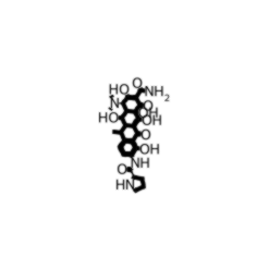 CC1c2ccc(NC(=O)[C@H]3CCCN3)c(O)c2C(=O)C2=C(O)C3(O)C(=O)C(C(N)=O)=C(O)[C@@H](N(C)C)C3C(O)C21